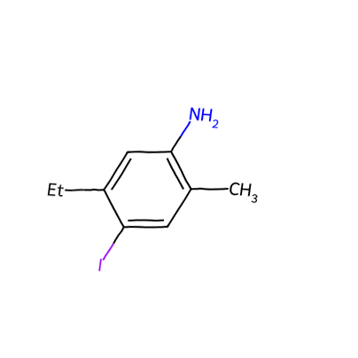 CCc1cc(N)c(C)cc1I